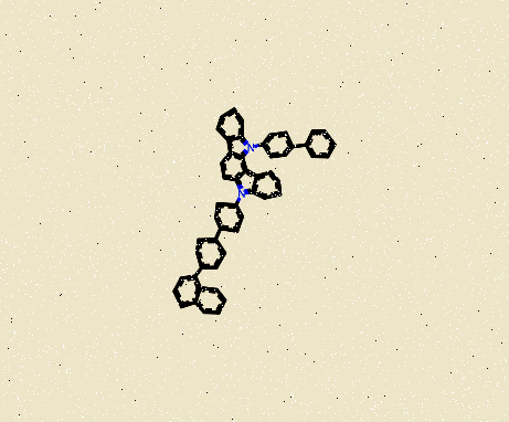 c1ccc(-c2ccc(-n3c4ccccc4c4ccc5c(c6ccccc6n5-c5ccc(-c6ccc(-c7cccc8ccccc78)cc6)cc5)c43)cc2)cc1